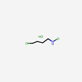 Cl.ClCCCCNCl